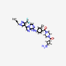 C#CCn1cc(-c2cnc3c(Nc4ccc(C(=O)N5CCN(C(=O)[C@H]6C[C@H](N)C6)CC5)c(CC)c4)nccn23)c(C(F)F)n1